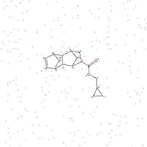 O=C(OCC1CC1)C1CC2CC1C1C3C=CC(C3)C21